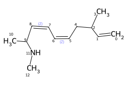 C=CC(C)C/C=C\C=C/C(C)NC